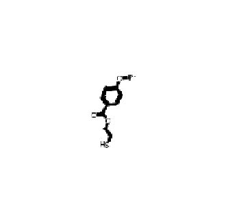 CC(C)Oc1ccc(C(=O)OCCS)cc1